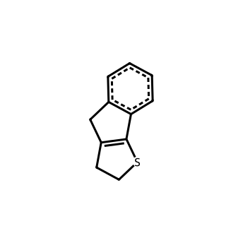 c1ccc2c(c1)CC1=C2SCC1